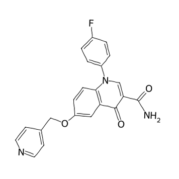 NC(=O)c1cn(-c2ccc(F)cc2)c2ccc(OCc3ccncc3)cc2c1=O